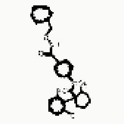 CC1CCCCC1(C(=O)Oc1ccc(C(=O)NOCc2ccccc2)cc1)c1c(F)cccc1Cl